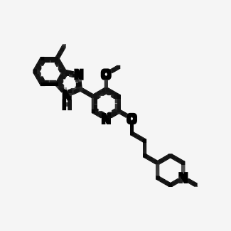 COc1cc(OCCCC2CCN(C)CC2)ncc1-c1nc2c(C)cccc2[nH]1